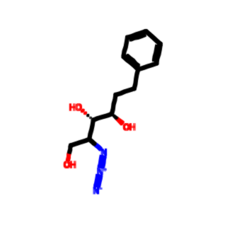 [N-]=[N+]=NC(CO)[C@H](O)[C@H](O)CCc1ccccc1